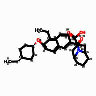 CCc1c(O[C@H]2CC[C@@H](CC)CC2)ccc2cc(C(=O)N3C4CCCC3CC(C(=O)O)C4)ccc12